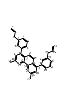 C=CCc1cccc(-c2cc(C)nc3c2ccc2c(-c4cccc(CC=C)c4)cc(C)nc23)c1